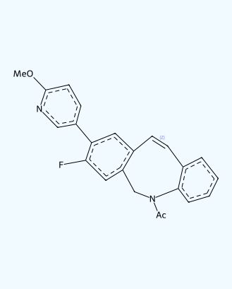 COc1ccc(-c2cc3c(cc2F)CN(C(C)=O)c2ccccc2/C=C\3)cn1